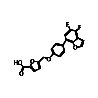 O=C(O)c1ccc(COc2ccc(-c3cc(F)c(F)c4ccoc34)cc2)o1